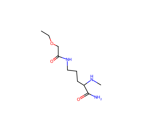 CCOCC(=O)NCCCC(NC)C(N)=O